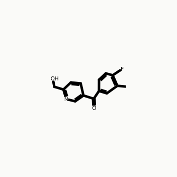 Cc1cc(C(=O)c2ccc(CO)nc2)ccc1F